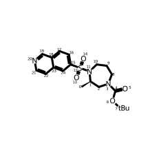 C[C@@H]1CN(C(=O)OC(C)(C)C)CCCN1S(=O)(=O)c1ccc2cnccc2c1